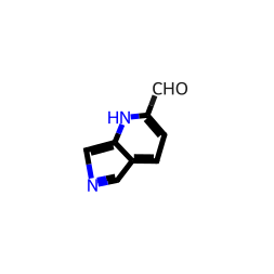 O=Cc1ccc2cncc-2[nH]1